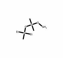 CC[Si](C)(CC)O[Si](C)(C)O[SiH3]